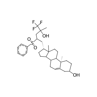 CC12CCC3C(CC=C4CC(O)CC[C@@]43C)C1CC[C@@H]2CC(CC(C)(O)C(F)(F)F)S(=O)(=O)c1ccccc1